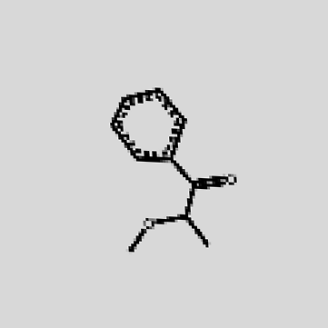 COC(C)C(=O)c1ccccc1